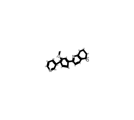 COc1cc(-c2ccc3c(n2)CCCC3=O)ccc1-c1cccnc1